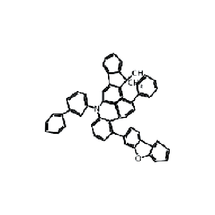 CC1(C)c2ccccc2-c2cc(N(c3cccc(-c4ccccc4)c3)c3cccc(-c4ccc5c(c4)oc4ccccc45)c3-c3ccc(-c4ccccc4)cc3)ccc21